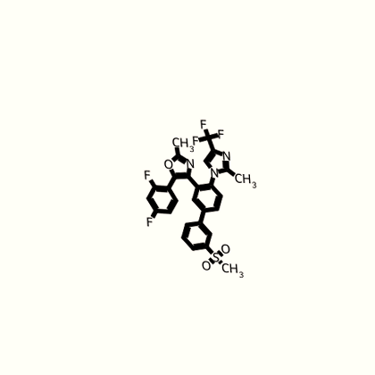 Cc1nc(-c2cc(-c3cccc(S(C)(=O)=O)c3)ccc2-n2cc(C(F)(F)F)nc2C)c(-c2ccc(F)cc2F)o1